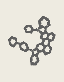 c1ccc(-c2ccc(-n3c4ccccc4c4c5cccc6c7cccc8c7c(cc7c8c8ccccc8n7-c7ccccc7)c(cc43)c65)cc2)cc1